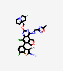 Cc1nc(CNc2nc(OC[C@@]34CCCN3C[C@H](F)C4)nc3c(Cl)c(-c4ccc(F)c5sc(N)c(C#N)c45)c4c(c23)COC4)no1